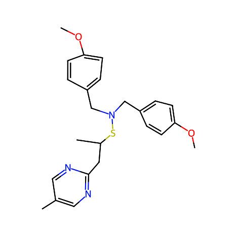 COc1ccc(CN(Cc2ccc(OC)cc2)SC(C)Cc2ncc(C)cn2)cc1